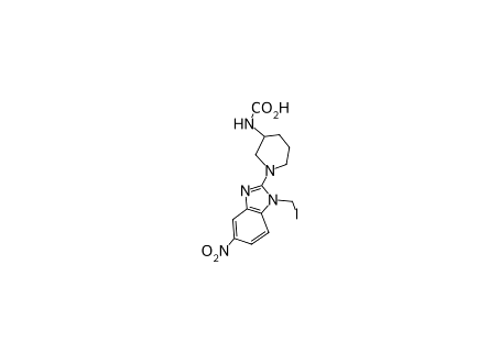 O=C(O)NC1CCCN(c2nc3cc([N+](=O)[O-])ccc3n2CI)C1